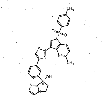 Cc1ccc(S(=O)(=O)n2cc(-c3nc(-c4cccc([C@@]5(O)CCn6ccnc65)c4)cs3)c3nc(C)cnc32)cc1